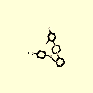 Cc1ccc(SCc2ccccc2N2CCN(c3ccc(Cl)cc3F)CC2)cc1